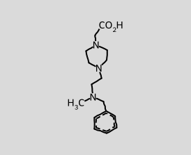 CN(CCN1CCN(CC(=O)O)CC1)Cc1ccccc1